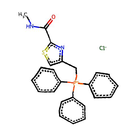 CNC(=O)c1nc(C[P+](c2ccccc2)(c2ccccc2)c2ccccc2)cs1.[Cl-]